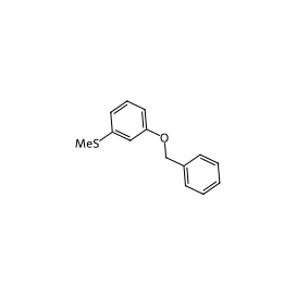 [CH2]Sc1cccc(OCc2ccccc2)c1